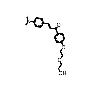 CN(C)c1ccc(C=CC(=O)c2ccc(OCCOCCO)cc2)cc1